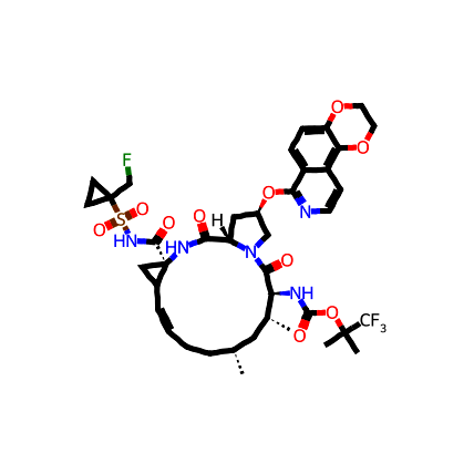 C[C@@H]1CC/C=C\C2C[C@@]2(C(=O)NS(=O)(=O)C2(CF)CC2)NC(=O)[C@@H]2C[C@@H](Oc3nccc4c5c(ccc34)OCCO5)CN2C(=O)[C@@H](NC(=O)OC(C)(C)C(F)(F)F)[C@H](C)C1